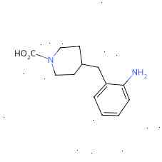 Nc1ccccc1CC1CCN(C(=O)O)CC1